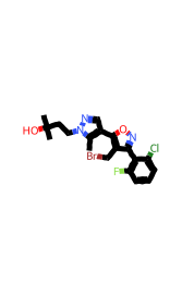 Cc1c(-c2onc(-c3c(F)cccc3Cl)c2CBr)cnn1CCC(C)(C)O